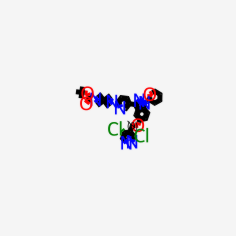 C[C@H](Oc1ccc2c(c1)c(-c1ccc(N3CC4(CN(C(=O)OC(C)(C)C)C4)C3)nc1)nn2C1CCCCO1)c1c(Cl)cnnc1Cl